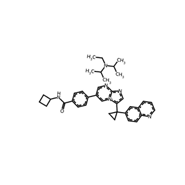 CCN(C(C)C)C(C)C.O=C(NC1CCC1)c1ccc(-c2cnc3ncc(C4(c5ccc6ncccc6c5)CC4)n3c2)cc1